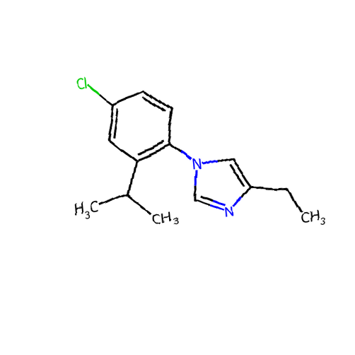 CCc1cn(-c2ccc(Cl)cc2C(C)C)cn1